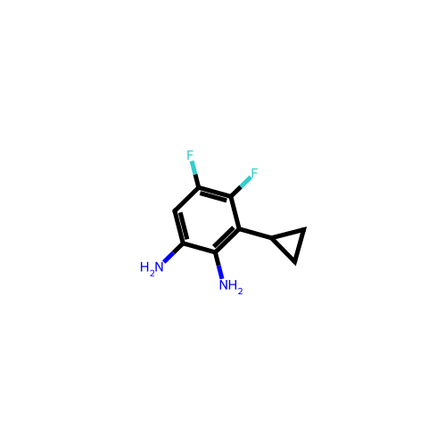 Nc1cc(F)c(F)c(C2CC2)c1N